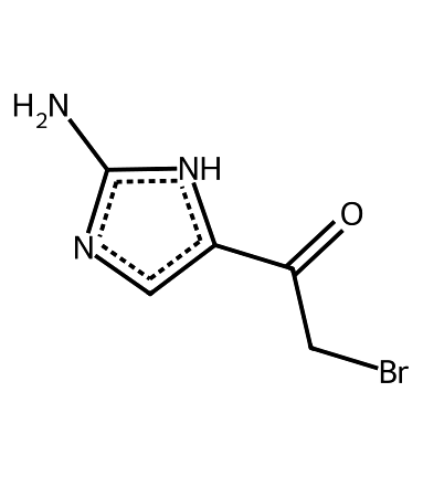 Nc1ncc(C(=O)CBr)[nH]1